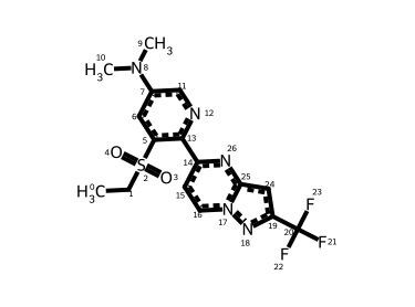 CCS(=O)(=O)c1cc(N(C)C)cnc1-c1ccn2nc(C(F)(F)F)cc2n1